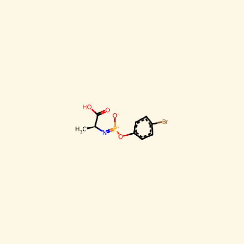 C[C@H](N=[P+]([O-])Oc1ccc(Br)cc1)C(=O)O